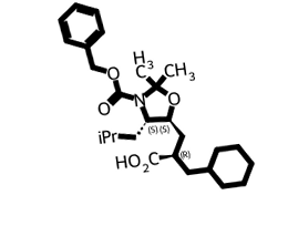 CC(C)C[C@H]1[C@H](C[C@@H](CC2CCCCC2)C(=O)O)OC(C)(C)N1C(=O)OCc1ccccc1